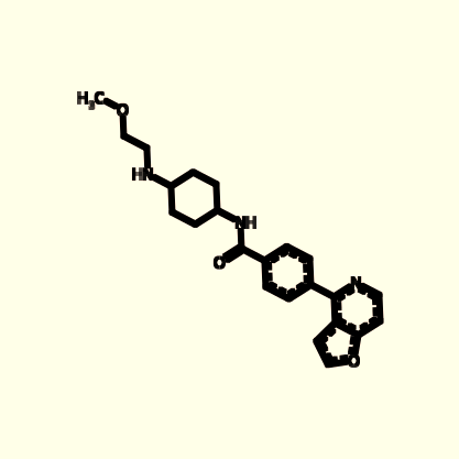 COCCNC1CCC(NC(=O)c2ccc(-c3nccc4occc34)cc2)CC1